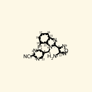 N#Cc1ncc(Cn2c(-c3nonc3N)nc3cccc(F)c32)cn1